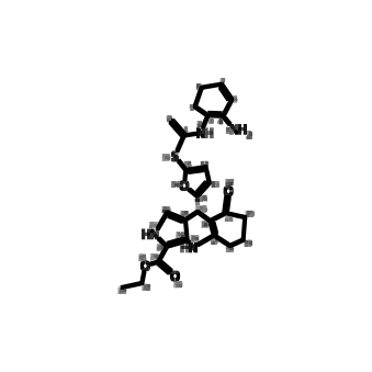 C=C(NC1=C(N)C=CCC1)Sc1ccc([C@@H]2C3=C(CCCC3=O)Nc3c2c[nH]c3C(=O)OCC)o1